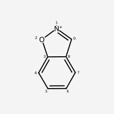 C1=[N+]Oc2ccccc21